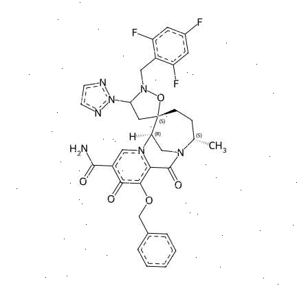 C[C@H]1CC[C@]2(CC(n3nccn3)N(Cc3c(F)cc(F)cc3F)O2)[C@H]2CN1C(=O)c1c(OCc3ccccc3)c(=O)c(C(N)=O)cn12